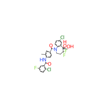 Cc1cc(C(=O)N2CCC(F)(F)[C@](O)(CO)c3cc(Cl)ccc32)ccc1NC(=O)c1cc(F)ccc1Cl